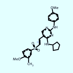 COc1ccc(Nc2ncc(/C=C/S(=O)(=O)c3ccc(OC)c(C)c3)c(NC3CCCC3)n2)cc1